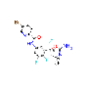 NC1=N[C@H](C(F)(F)F)C[C@@](CF)(c2cc(NC(=O)c3ccc(Br)cn3)cc(F)c2F)O1